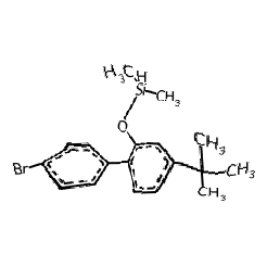 C[SiH](C)Oc1cc(C(C)(C)C)ccc1-c1ccc(Br)cc1